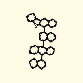 c1ccc2c(-c3c4ccccc4c(-c4ccc(-c5c6ccccc6cc6c5sc5ccccc56)c5ccccc45)c4ccccc34)cccc2c1